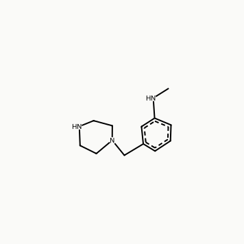 CNc1cccc(CN2CCNCC2)c1